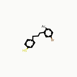 CC(=O)c1ccc(Br)cc1CCCc1ccc(S)cc1